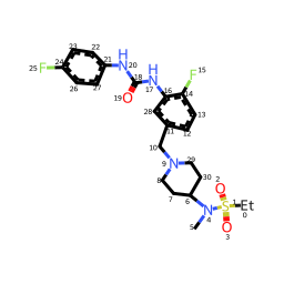 CCS(=O)(=O)N(C)C1CCN(Cc2ccc(F)c(NC(=O)Nc3ccc(F)cc3)c2)CC1